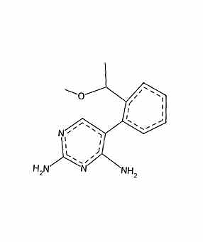 COC(C)c1ccccc1-c1cnc(N)nc1N